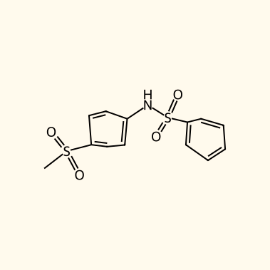 CS(=O)(=O)c1ccc(NS(=O)(=O)c2ccccc2)cc1